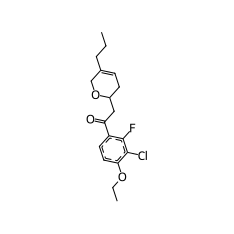 CCCC1=CCC(CC(=O)c2ccc(OCC)c(Cl)c2F)OC1